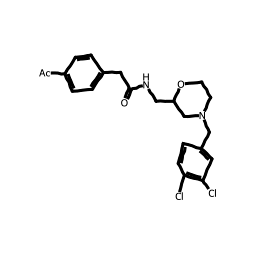 CC(=O)c1ccc(CC(=O)NCC2CN(Cc3ccc(Cl)c(Cl)c3)CCO2)cc1